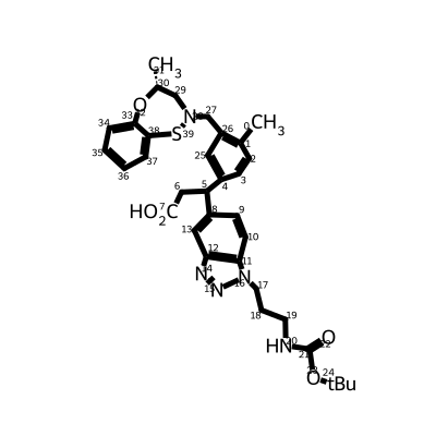 Cc1ccc(C(CC(=O)O)c2ccc3c(c2)nnn3CCCNC(=O)OC(C)(C)C)cc1CN1C[C@@H](C)Oc2ccccc2S1